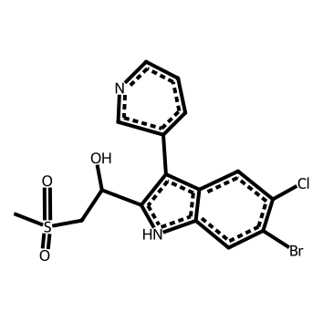 CS(=O)(=O)CC(O)c1[nH]c2cc(Br)c(Cl)cc2c1-c1cccnc1